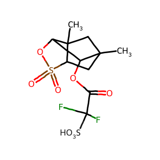 CC12CC3C(C)(C1)C(OS3(=O)=O)C2OC(=O)C(F)(F)S(=O)(=O)O